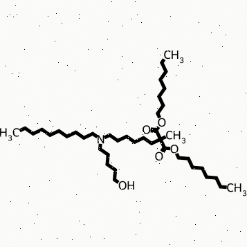 CCCCCCCCCCN(CCCCCO)CCCCCCC(C)(C(=O)OCCCCCCCC)C(=O)OCCCCCCCC